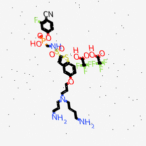 N#Cc1ccc(OP(=O)(O)CNS(=O)(=O)c2cc3cc(OCCCN(CCCN)CCCCN)ccc3s2)cc1F.O=C(O)C(F)(F)F.O=C(O)C(F)(F)F